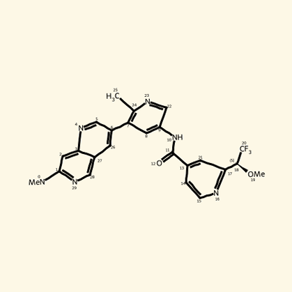 CNc1cc2ncc(-c3cc(NC(=O)c4ccnc([C@H](OC)C(F)(F)F)c4)cnc3C)cc2cn1